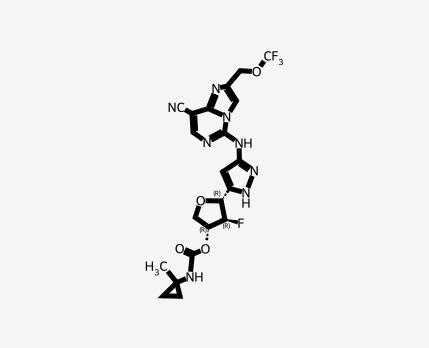 CC1(NC(=O)O[C@@H]2CO[C@H](c3cc(Nc4ncc(C#N)c5nc(COC(F)(F)F)cn45)n[nH]3)[C@H]2F)CC1